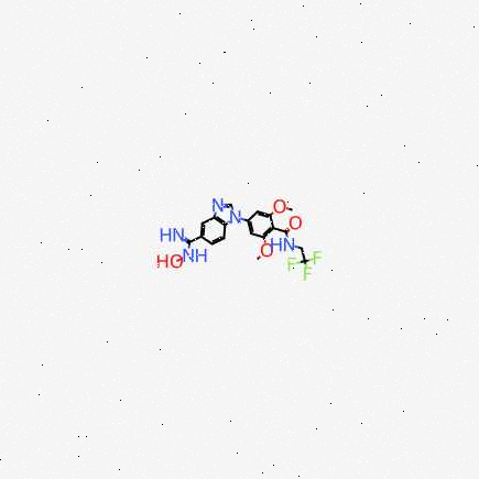 COc1cc(-n2cnc3cc(C(=N)NO)ccc32)cc(OC)c1C(=O)NCC(F)(F)F